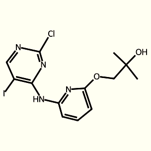 CC(C)(O)COc1cccc(Nc2nc(Cl)ncc2I)n1